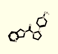 CN1CC=C([C@@H]2CCCN2C(=O)N2Cc3cccnc3C2)CC1